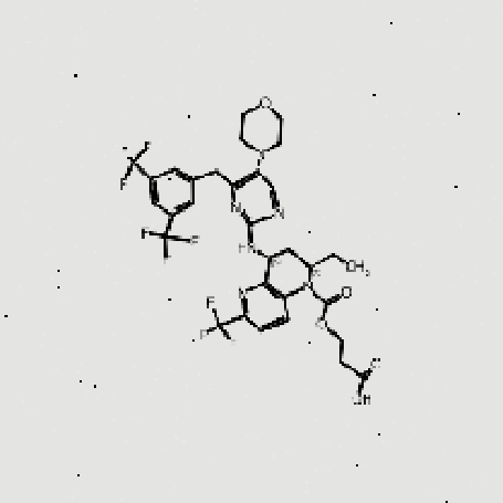 CC[C@@H]1C[C@H](Nc2ncc(N3CCOCC3)c(Cc3cc(C(F)(F)F)cc(C(F)(F)F)c3)n2)c2nc(C(F)(F)F)ccc2N1C(=O)OCCC(=O)O